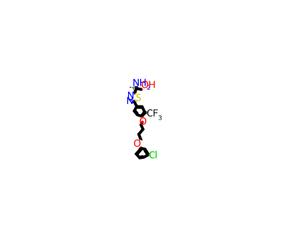 C[C@](N)(CO)c1nnc(-c2ccc(OCCCCOc3cccc(Cl)c3)c(C(F)(F)F)c2)s1